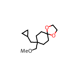 COCC1(CC2CC2)CCC2(CC1)OCCO2